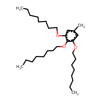 [CH2]c1cc(OCCCCCCCC)c(OCCCCCCCC)c(OCCCCCCCC)c1